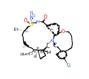 CC[C@H]1C/C=C/[C@H](OC)[C@@H]2CC[C@H]2CN2Cc3ccc(Cl)cc3CCCCOc3ccc(cc32)C(=O)N=[S@](N)(=O)C1